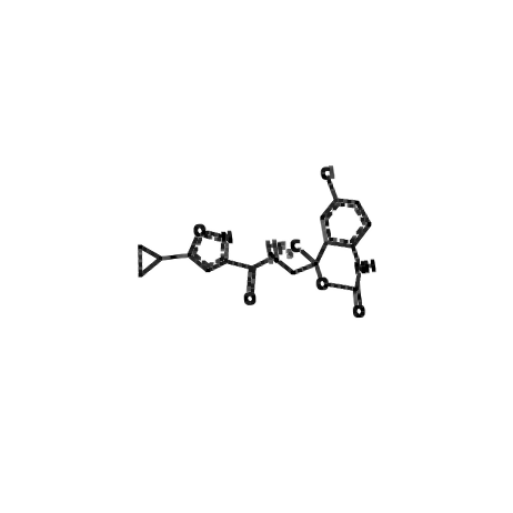 O=C1Nc2ccc(Cl)cc2C(CNC(=O)c2cc(C3CC3)on2)(C(F)(F)F)O1